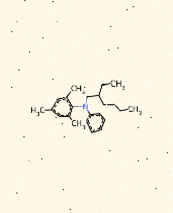 CCCCC(CC)CN(c1ccccc1)c1c(C)cc(C)cc1C